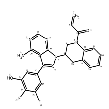 C=CC(=O)N1CC(n2nc(-c3cc(O)c(F)c(F)c3)c3c(N)ncnc32)Cc2ccccc21